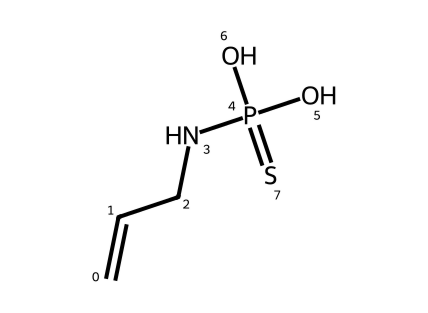 C=CCNP(O)(O)=S